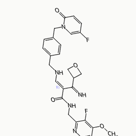 COc1ccnc(CNC(=O)/C(=C/NCc2ccc(Cn3cc(F)ccc3=O)cc2)C(=N)C2COC2)c1F